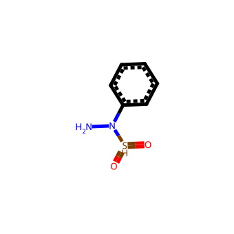 NN(c1ccccc1)[SH](=O)=O